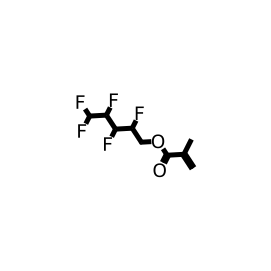 C=C(C)C(=O)OCC(F)C(F)C(F)C(F)F